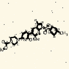 COc1nc(N2CCN(C(=O)OC(C)(C)C)CC2)ccc1-c1cnc2c(c1)c(I)cn2S(=O)(=O)c1ccc(C)cc1